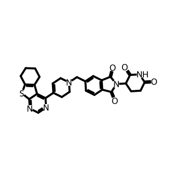 O=C1CCC(N2C(=O)c3ccc(CN4CC=C(c5ncnc6sc7c(c56)CCCC7)CC4)cc3C2=O)C(=O)N1